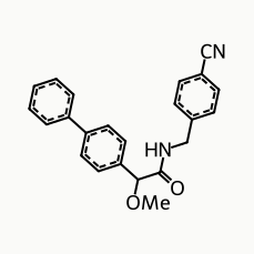 COC(C(=O)NCc1ccc(C#N)cc1)c1ccc(-c2ccccc2)cc1